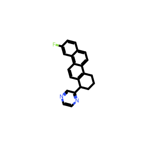 Fc1ccc2ccc3c4c(ccc3c2c1)C(c1cnccn1)CCC4